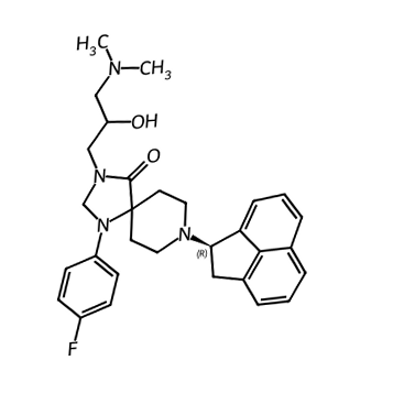 CN(C)CC(O)CN1CN(c2ccc(F)cc2)C2(CCN([C@@H]3Cc4cccc5cccc3c45)CC2)C1=O